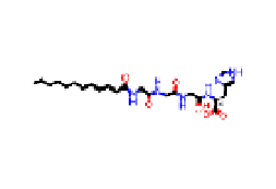 CCCCCCCCCCCC(=O)NCC(=O)NCC(=O)NCC(=O)N[C@@H](Cc1c[nH]cn1)C(=O)O